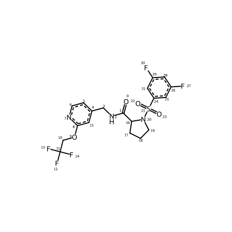 O=C(NCc1ccnc(OCC(F)(F)F)c1)C1CCCN1S(=O)(=O)c1cc(F)cc(F)c1